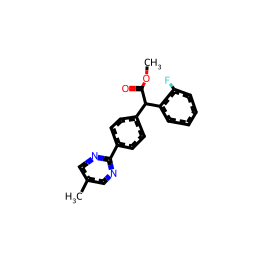 COC(=O)C(c1ccc(-c2ncc(C)cn2)cc1)c1ccccc1F